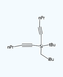 CCCC#C[Si](C#CCCC)(CC(C)CC)C(C)(C)C